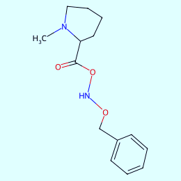 CN1CCCCC1C(=O)ONOCc1ccccc1